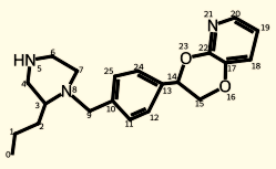 CCCC1CNCCN1Cc1ccc(C2COc3cccnc3O2)cc1